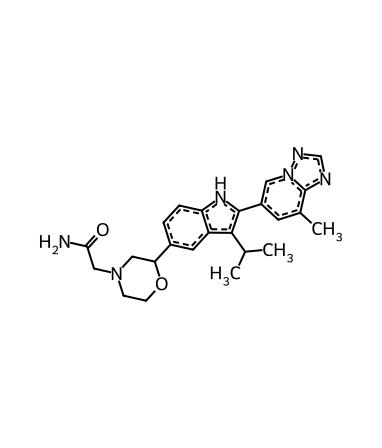 Cc1cc(-c2[nH]c3ccc(C4CN(CC(N)=O)CCO4)cc3c2C(C)C)cn2ncnc12